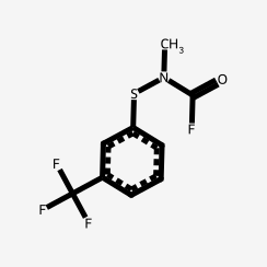 CN(Sc1cccc(C(F)(F)F)c1)C(=O)F